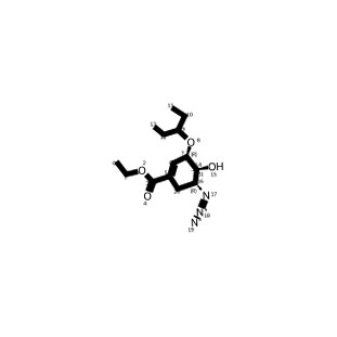 CCOC(=O)C1=C[C@@H](OC(CC)CC)[C@@H](O)[C@H](N=[N+]=[N-])C1